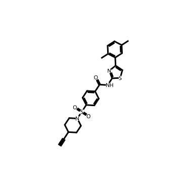 C#CC1CCN(S(=O)(=O)c2ccc(C(=O)Nc3nc(-c4cc(C)ccc4C)cs3)cc2)CC1